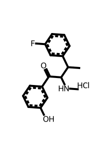 CNC(C(=O)c1cccc(O)c1)C(C)c1cccc(F)c1.Cl